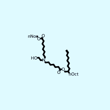 C=CCCCCCCC(CCCCCCCC)COC(=O)CCCCCCN(CCO)CCCCCCCC(=O)OCCCCCCCCC